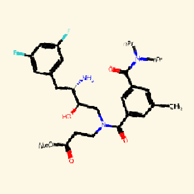 CCCN(CCC)C(=O)c1cc(C)cc(C(=O)N(CCC(=O)OC)C[C@@H](O)[C@@H](N)Cc2cc(F)cc(F)c2)c1